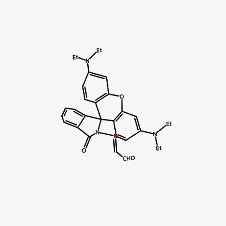 CCN(CC)c1ccc2c(c1)Oc1cc(N(CC)CC)ccc1C21c2ccccc2C(=O)N1/N=C/C=O